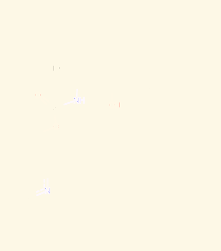 CC(CC(O)CC(c1ccccc1)c1ccccc1)NC(=O)OCc1cccnc1